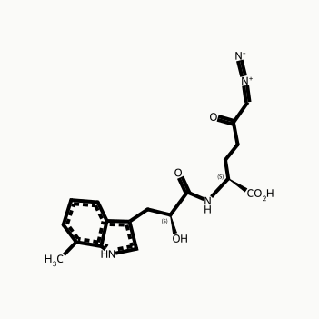 Cc1cccc2c(C[C@H](O)C(=O)N[C@@H](CCC(=O)C=[N+]=[N-])C(=O)O)c[nH]c12